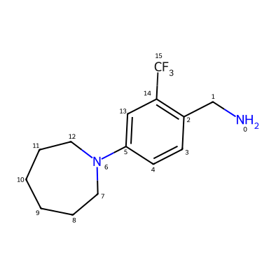 NCc1ccc(N2CCCCCC2)cc1C(F)(F)F